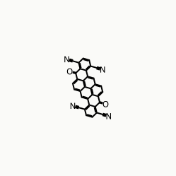 N#Cc1ccc(C#N)c2c1c(=O)c1ccc3cc4c5c(C#N)ccc(C#N)c5c(=O)c5ccc6cc2c1c3c6c54